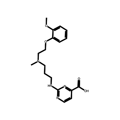 COc1ccccc1OCCN(C)CCCNc1nccc(C(=O)O)n1